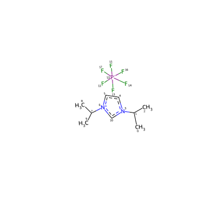 CC(C)n1cc[n+](C(C)C)c1.F[P-](F)(F)(F)(F)F